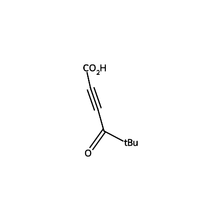 CC(C)(C)C(=O)C#CC(=O)O